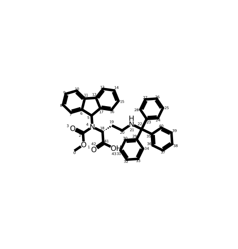 COC(=O)N(C1c2ccccc2-c2ccccc21)[C@H](CCNC(c1ccccc1)(c1ccccc1)c1ccccc1)C(=O)O